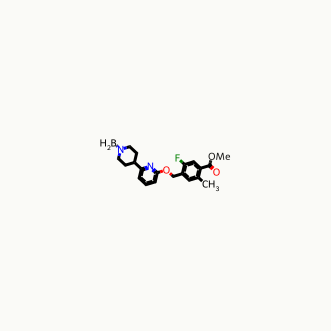 BN1CCC(c2cccc(OCc3cc(C)c(C(=O)OC)cc3F)n2)CC1